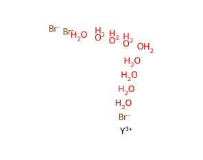 O.O.O.O.O.O.O.O.O.[Br-].[Br-].[Br-].[Y+3]